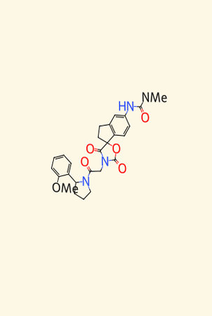 CNC(=O)Nc1ccc2c(c1)CCC21OC(=O)N(CC(=O)N2CCCC2c2ccccc2OC)C1=O